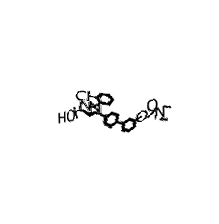 CCN(CC)C(=O)COc1cccc(-c2ccc(-c3cc(C(C)(C)O)nn3-c3ccccc3Cl)cc2)c1